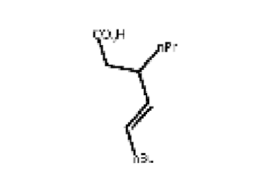 CCCCC=CC(CCC)CC(=O)O